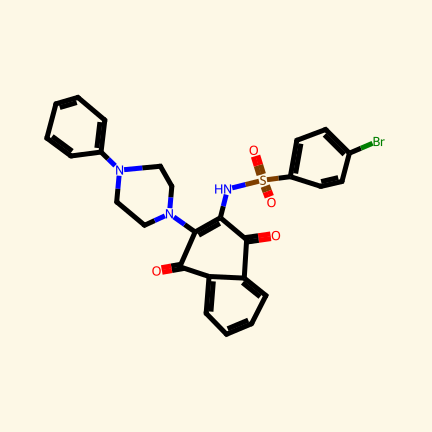 O=C1C(NS(=O)(=O)c2ccc(Br)cc2)=C(N2CCN(c3ccccc3)CC2)C(=O)c2ccccc21